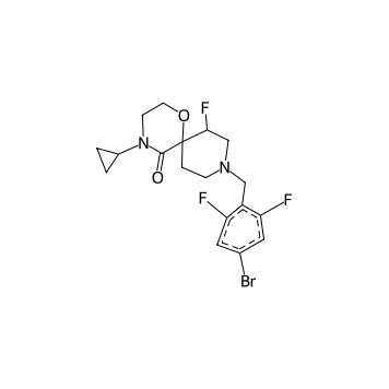 O=C1N(C2CC2)CCOC12CCN(Cc1c(F)cc(Br)cc1F)CC2F